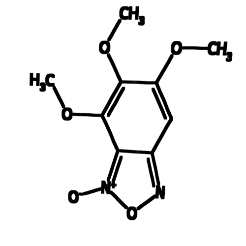 COc1cc2no[n+]([O-])c2c(OC)c1OC